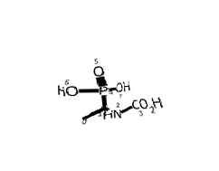 CC(NC(=O)O)P(=O)(O)O